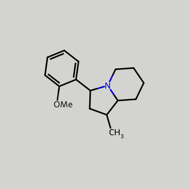 COc1ccccc1C1CC(C)C2CCCCN12